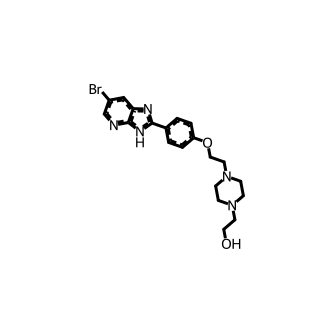 OCCN1CCN(CCOc2ccc(-c3nc4cc(Br)cnc4[nH]3)cc2)CC1